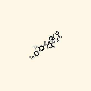 Cc1cc(Nc2ncc(F)c(N[C@]34[C@@H]5C=C[C@@H]3[C@]54C(=O)NC3CCC3)n2)ccc1N1CCN(C)CC1